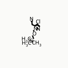 C[Si](C)(C)CCOCn1ncc(Cl)c1CC#N